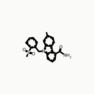 Cc1c[c]c2c3c(C(N)=O)cccc3n(Cc3ccccc3S(C)(=O)=O)c2c1